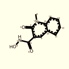 Cn1c(=O)c(C(=O)NO)cc2ccccc21